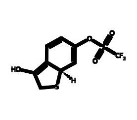 O=S(=O)(OC1=C[C@H]2SCC(O)=C2C=C1)C(F)(F)F